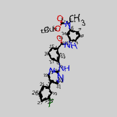 CN(C(=O)OC(C)(C)C)c1cccc(NC(=O)c2cccc(Nc3ncc(-c4cccc(F)c4)cn3)c2)c1